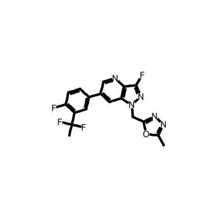 Cc1nnc(Cn2nc(F)c3ncc(-c4ccc(F)c(C(C)(F)F)c4)cc32)o1